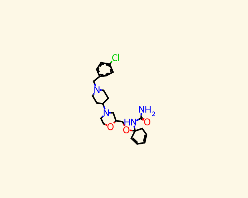 NC(=O)NC1(OCC2CN(C3CCN(Cc4ccc(Cl)cc4)CC3)CCO2)C=CC=CC1